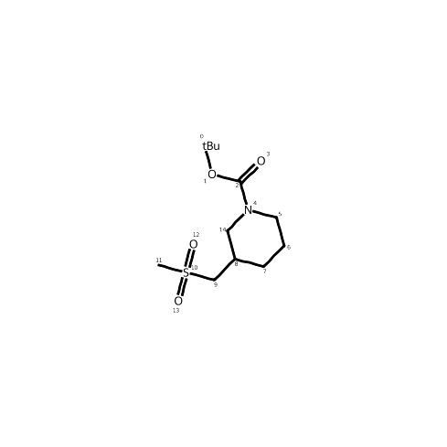 CC(C)(C)OC(=O)N1CCCC(CS(C)(=O)=O)C1